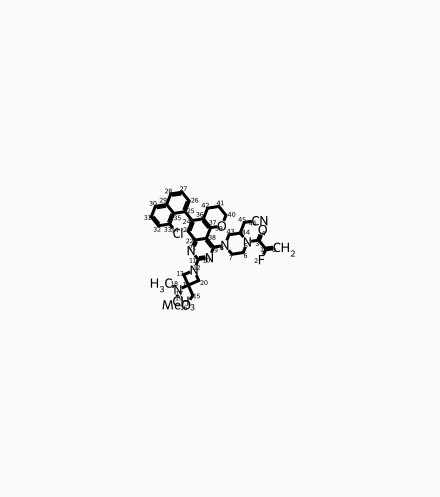 C=C(F)C(=O)N1CCN(c2nc(N3CC(COC)(N(C)C)C3)nc3cc(-c4cccc5cccc(Cl)c45)c4c(c23)OCCC4)CC1CC#N